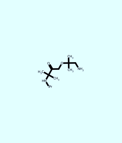 CC(C)NC(C)(C)C(=O)COC(C)(C)CN